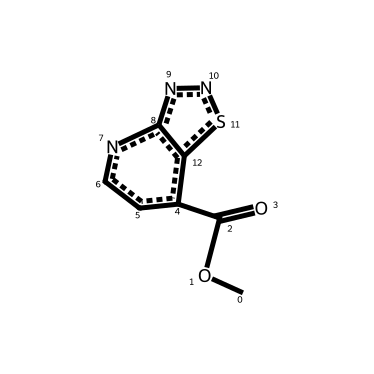 COC(=O)c1ccnc2nnsc12